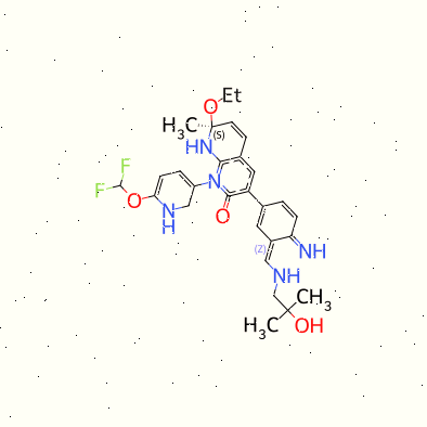 CCO[C@@]1(C)C=Cc2cc(C3=C/C(=C/NCC(C)(C)O)C(=N)C=C3)c(=O)n(C3=CC=C(OC(F)F)NC3)c2N1